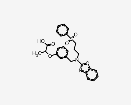 CC(Oc1cccc(CN(CCCS(=O)(=O)c2ccccc2)c2nc3ccccc3o2)c1)C(=O)O